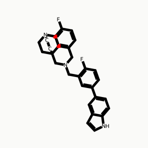 Fc1ccc(CN(Cc2cc(-c3ccc4[nH]ccc4c3)ccc2F)CC23CCN(CC2)CC3)cc1